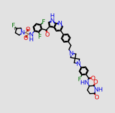 O=C1CCC(NC(=O)c2ccc(N3CC4(CN(CCc5ccc(-c6cnc7[nH]cc(C(=O)c8c(F)ccc(NS(=O)(=O)N9CC[C@@H](F)C9)c8F)c7c6)cc5)C4)C3)cc2F)C(=O)N1